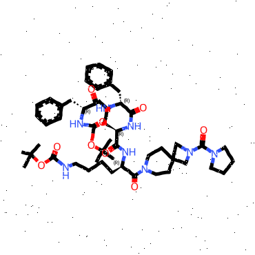 CC(C)C[C@@H](NC(=O)[C@@H](Cc1ccccc1)NC(=O)[C@@H](Cc1ccccc1)NC(=O)OC(C)(C)C)C(=O)N[C@H](CCCCNC(=O)OC(C)(C)C)C(=O)N1CCC2(CC1)CN(C(=O)N1CCCC1)C2